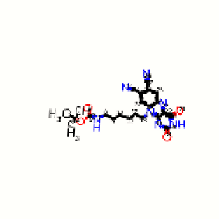 CC(C)(C)OC(=O)NCCCCCCn1c2nc(=O)[nH]c(=O)c-2nc2cc(C#N)c(C#N)cc21